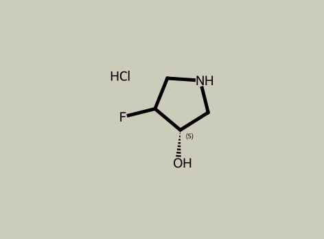 Cl.O[C@H]1CNCC1F